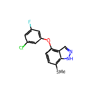 CSc1ccc(Oc2cc(F)cc(Cl)c2)c2cn[nH]c12